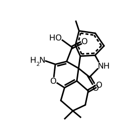 Cc1ccc2c(c1)C1(C(=O)N2)C(C(=O)O)=C(N)OC2=C1C(=O)CC(C)(C)C2